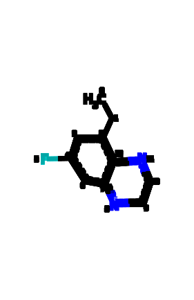 CCc1cc(F)cc2nccnc12